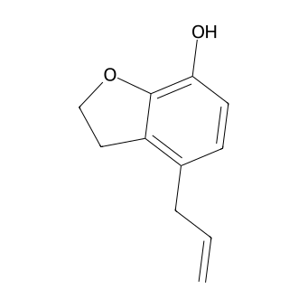 C=CCc1ccc(O)c2c1CCO2